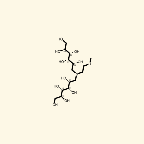 COCCN(C[C@@H](O)[C@H](O)[C@@H](O)[C@@H](O)CO)C[C@@H](O)[C@H](O)[C@@H](O)[C@@H](O)CO